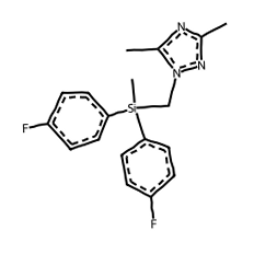 Cc1nc(C)n(C[Si](C)(c2ccc(F)cc2)c2ccc(F)cc2)n1